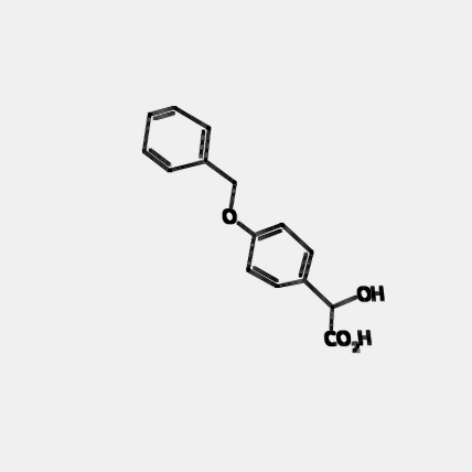 O=C(O)C(O)c1ccc(OCc2ccccc2)cc1